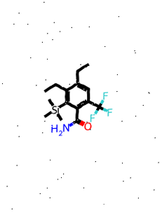 CCc1cc(C(F)(F)F)c(C(N)=O)c([Si](C)(C)C)c1CC